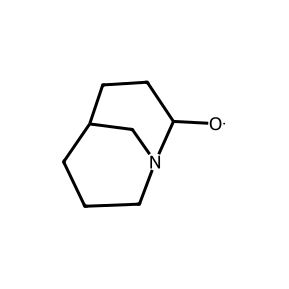 [O]C1CCC2CCCN1C2